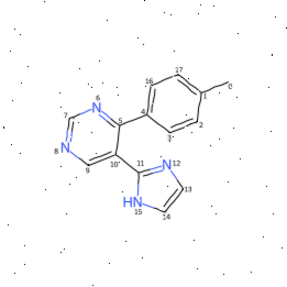 Cc1ccc(-c2n[c]ncc2-c2ncc[nH]2)cc1